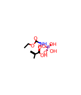 C=C(C)C(=O)O.CCOC(N)=O.O=P(O)(O)O